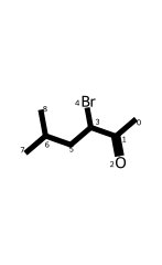 CC(=O)C(Br)CC(C)C